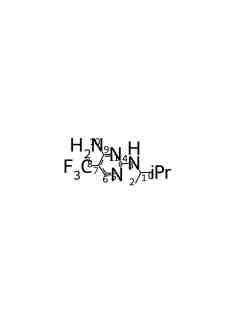 CC(C)C(C)Nc1ncc(C(F)(F)F)c(N)n1